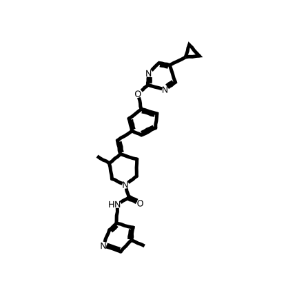 Cc1cncc(NC(=O)N2CCC(=Cc3cccc(Oc4ncc(C5CC5)cn4)c3)C(C)C2)c1